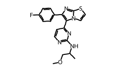 COCC(C)Nc1nccc(-c2c(-c3ccc(F)cc3)nc3sccn23)n1